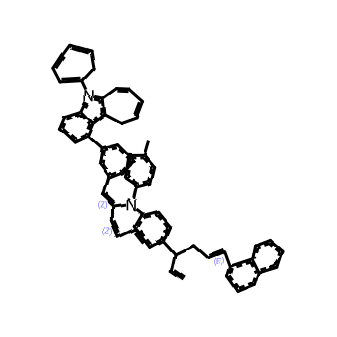 C=C/C=C\C(=C\c1cccc(-c2cccc3c2c2c(n3C3=CC=CC=CC3)C=CC=CC2)c1)N(c1ccc(C)cc1)c1ccc(C(C=C)C/C=C/c2cccc3ccccc23)cc1